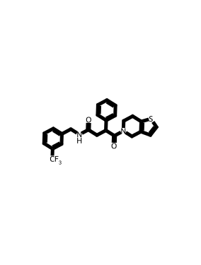 O=C(CC(C(=O)N1CCc2sccc2C1)c1ccccc1)NCc1cccc(C(F)(F)F)c1